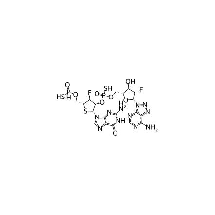 Nc1nc2c(ncn2[C@@H]2S[C@H](CO[PH](=O)S)[C@@H](F)[C@H]2OP(=O)(S)OC[C@H]2O[C@@H](n3nnc4c(N)ncnc43)[C@@H](F)[C@@H]2O)c(=O)[nH]1